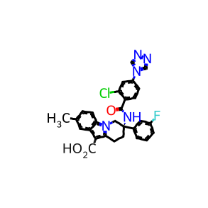 Cc1ccc2c(c1)c(C(=O)O)c1n2C[C@@](NC(=O)c2ccc(-n3cnnc3)cc2Cl)(c2cccc(F)c2)CC1